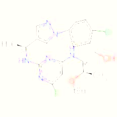 C[C@H](Nc1nc(F)cc(N[C@H](CO)[C@@H](C)OC(C)(C)C)n1)c1cnn(-c2ccc(Cl)cc2)c1